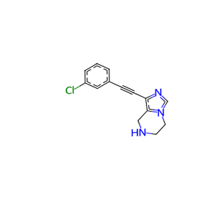 Clc1cccc(C#Cc2ncn3c2CNCC3)c1